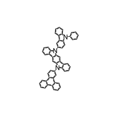 c1ccc(-n2c3ccccc3c3cc(-n4c5ccccc5c5cc6c(cc54)c4ccccc4n6-c4ccc5c6ccccc6c6ccccc6c5c4)ccc32)cc1